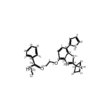 CCOc1ccc(-c2cccs2)c2sc(C34CCN3C4)nc12.CNC(=O)c1ccccc1